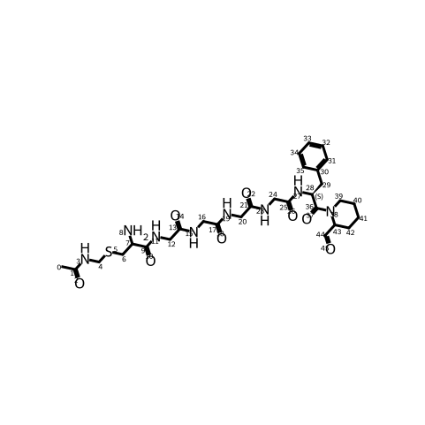 CC(=O)NCSCC(N)C(=O)NCC(=O)NCC(=O)NCC(=O)NCC(=O)N[C@@H](Cc1ccccc1)C(=O)N1CCCCC1C=O